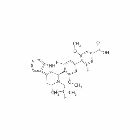 COc1cc(C(=O)O)cc(F)c1-c1cc(F)c([C@@H]2c3[nH]c4ccccc4c3C[C@@H](C)N2CC(C)(C)F)c(OC)c1